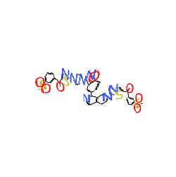 CS(=O)(=O)c1cccc(C(=O)c2cnc(N3CCN(c4noc5ccc(-c6nccc7c6CN(c6ncc(C(=O)c8cccc(S(C)(=O)=O)c8)s6)CC7)cc45)CC3)s2)c1